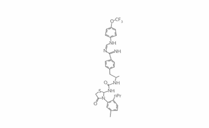 CCCc1ccc(C)cc1N1C(=O)CSC1NC(=O)NC(C)Cc1ccc(C(=N)/N=C\Nc2ccc(OC(F)(F)F)cc2)cc1